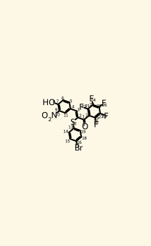 O=C(C(=Cc1ccc(O)c([N+](=O)[O-])c1)Sc1ccc(Br)cc1)c1c(F)c(F)c(F)c(F)c1F